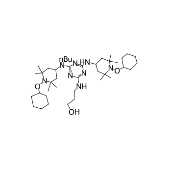 CCCCN(c1nc(NCCCO)nc(NC2CC(C)(C)N(OC3CCCCC3)C(C)(C)C2)n1)C1CC(C)(C)N(OC2CCCCC2)C(C)(C)C1